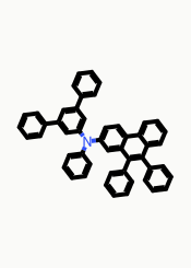 c1ccc(-c2cc(-c3ccccc3)cc(N(c3ccccc3)c3ccc4c(c3)c(-c3ccccc3)c(-c3ccccc3)c3ccccc34)c2)cc1